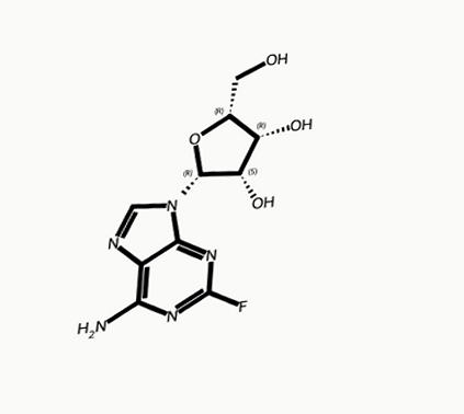 Nc1nc(F)nc2c1ncn2[C@@H]1O[C@H](CO)[C@H](O)[C@@H]1O